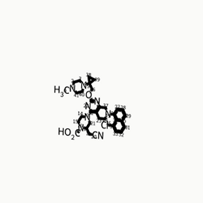 CN1CCN(C2(COc3nc4c(c(N5CCN(C(=O)O)C(CC#N)C5)n3)CCN(c3cccc5cccc(Cl)c35)C4)CC2)CC1